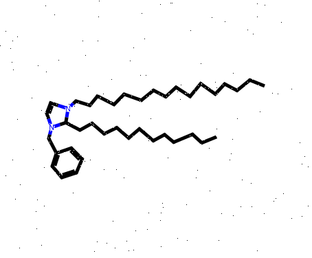 CCCCCCCCCCCCCCCCN1C=CN(Cc2ccccc2)C1CCCCCCCCCCCC